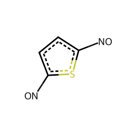 O=Nc1ccc(N=O)s1